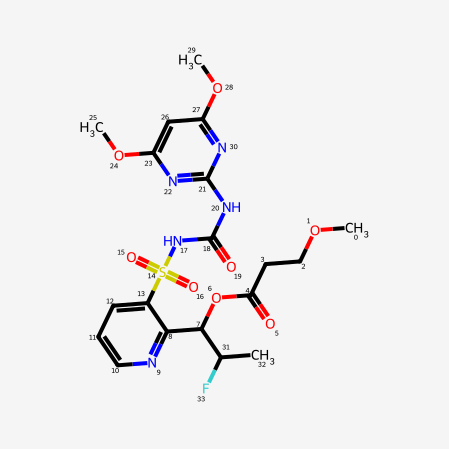 COCCC(=O)OC(c1ncccc1S(=O)(=O)NC(=O)Nc1nc(OC)cc(OC)n1)C(C)F